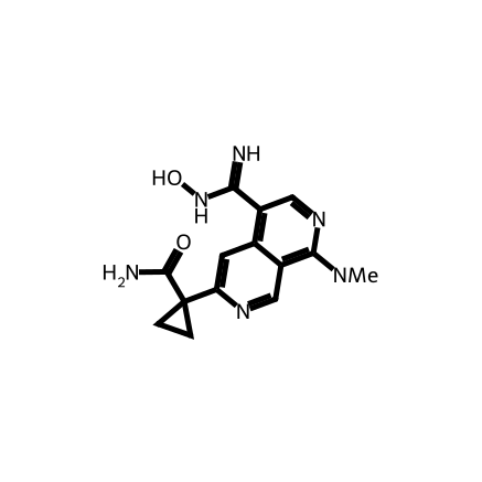 CNc1ncc(C(=N)NO)c2cc(C3(C(N)=O)CC3)ncc12